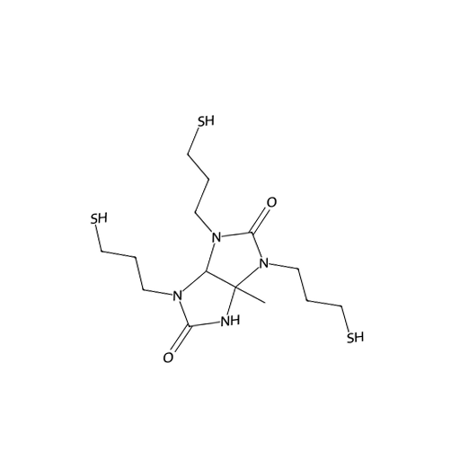 CC12NC(=O)N(CCCS)C1N(CCCS)C(=O)N2CCCS